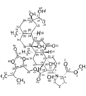 COC(=O)[C@@H]1CCCN1[C@H]1CC[C@@]2(C)[C@@H](CC[C@]3(C)[C@@H]2C(=O)C=C2[C@@H]4C[C@@](C)(C(=O)O)CC[C@]4(C)CC[C@]23C)[C@]1(C)C(=O)OCc1oc(=O)oc1C(C)C